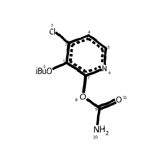 CC(C)COc1c(Cl)ccnc1OC(N)=O